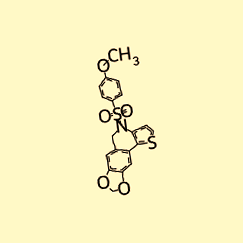 COc1ccc(S(=O)(=O)N2Cc3cc4c(cc3-c3sccc32)OCO4)cc1